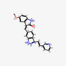 COc1ccc2c(c1)/C(=C/c1ccc3c(/C=C/c4cccnc4)n[nH]c3c1)C(=O)N2